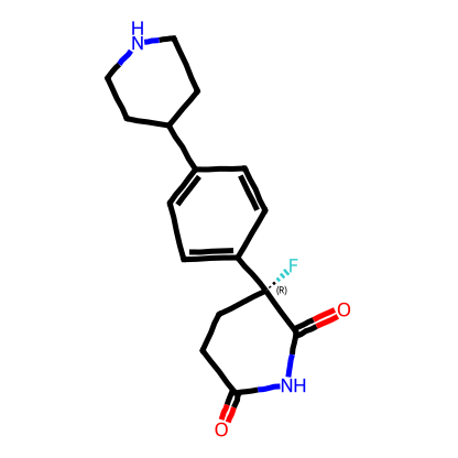 O=C1CC[C@@](F)(c2ccc(C3CCNCC3)cc2)C(=O)N1